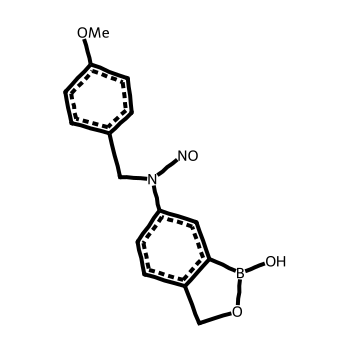 COc1ccc(CN(N=O)c2ccc3c(c2)B(O)OC3)cc1